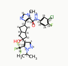 CC(C)n1ncc(C2(O)CC3CC(c4ncn(C)c4C(=O)Nc4ccc(F)c(Cl)c4)CC3C2)c1C(F)(F)F